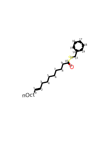 CCCCCCCCC=CCCCCCCCC(=O)SCc1ccccc1